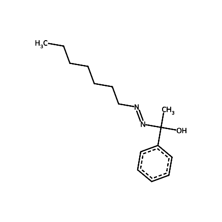 CCCCCCCN=NC(C)(O)c1ccccc1